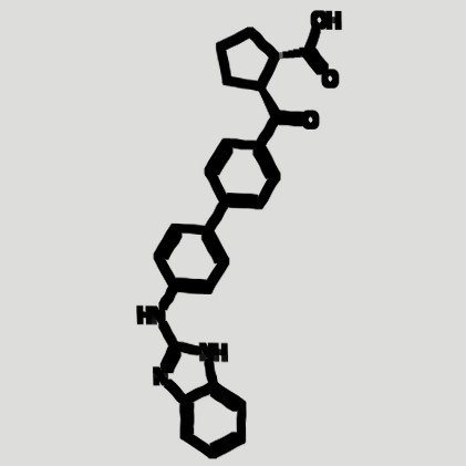 O=C(O)[C@H]1CCC[C@@H]1C(=O)c1ccc(-c2ccc(Nc3nc4ccccc4[nH]3)cc2)cc1